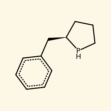 c1ccc(C[C@H]2CCCP2)cc1